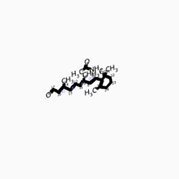 CC(N)=O.CC1=C(/C=C/C(C)=C/C=C/C(C)=C/C=O)C(C)(C)CCC1